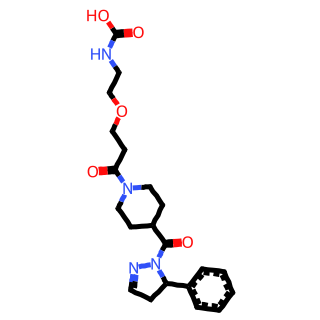 O=C(O)NCCOCCC(=O)N1CCC(C(=O)N2N=CCC2c2ccccc2)CC1